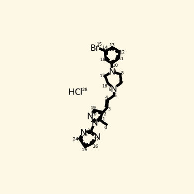 Cc1c(C=CCN2CCN(c3cccc(Br)c3)CC2)cnn1-c1ncccn1.Cl